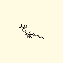 C=C(C)C(=O)OCSc1nnc(SCCCCC)s1